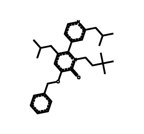 CC(C)Cc1cc(-c2c(CC(C)C)cc(OCc3ccccc3)c(=O)n2CCC(C)(C)C)ccn1